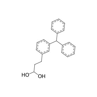 OC(O)CCc1cccc(C(c2ccccc2)c2ccccc2)c1